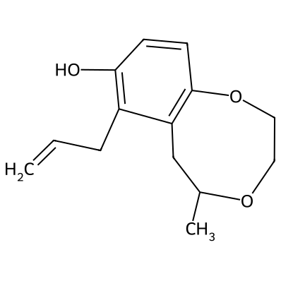 C=CCc1c(O)ccc2c1CC(C)OCCO2